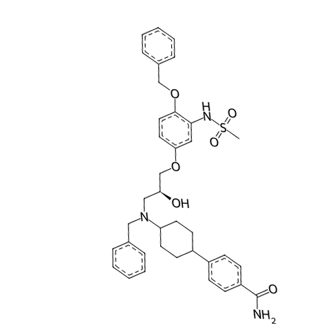 CS(=O)(=O)Nc1cc(OC[C@@H](O)CN(Cc2ccccc2)C2CCC(c3ccc(C(N)=O)cc3)CC2)ccc1OCc1ccccc1